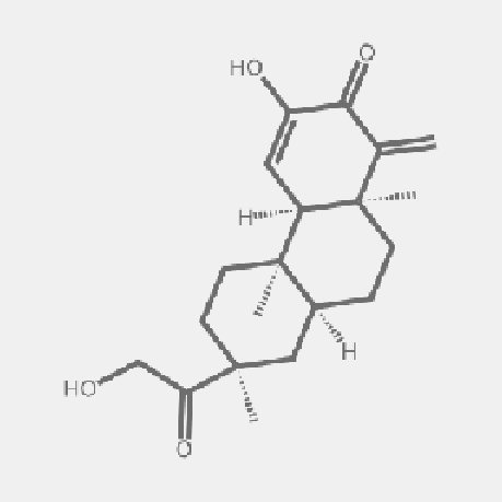 C=C1C(=O)C(O)=C[C@@H]2[C@]3(C)CC[C@](C)(C(=O)CO)C[C@@H]3CC[C@]12C